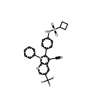 N#Cc1c(-c2ccc(NS(=O)(=O)C3CCC3)cc2)n(-c2ccccc2)c2ncc(C(F)(F)F)cc12